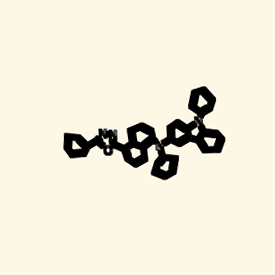 c1ccc(-c2nnc(-c3cccc4c(N(c5ccccc5)c5ccc6c(c5)c5ccccc5n6-c5ccccc5)cccc34)o2)cc1